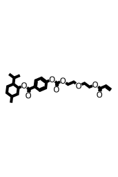 C=CC(=O)OCCOCCOC(=O)Oc1ccc(C(=O)OC2CC(C)CCC2C(C)C)cc1